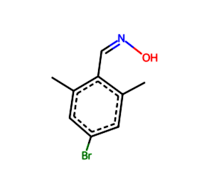 Cc1cc(Br)cc(C)c1/C=N\O